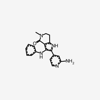 CN1CCc2[nH]c(-c3ccnc(N)c3)c(Nc3ccccc3)c2C1=O